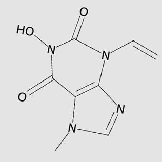 C=Cn1c(=O)n(O)c(=O)c2c1ncn2C